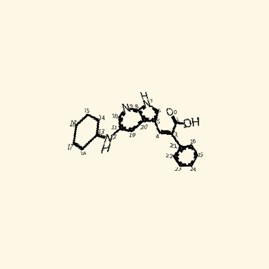 O=C(O)C(=Cc1c[nH]c2ncc(NC3CCCCC3)cc12)c1ccccc1